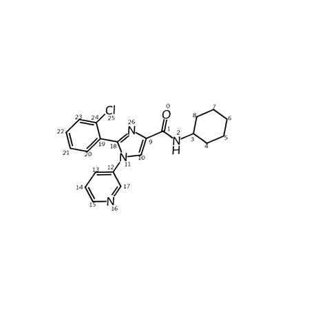 O=C(NC1CCCCC1)c1cn(-c2cccnc2)c(-c2ccccc2Cl)n1